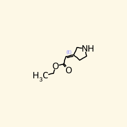 CCOC(=O)/C=C1\CCNC1